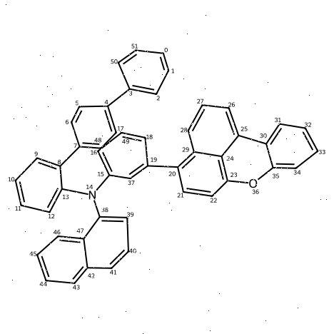 c1ccc(-c2ccc(-c3ccccc3N(c3cccc(-c4ccc5c6c(cccc46)-c4ccccc4O5)c3)c3cccc4ccccc34)cc2)cc1